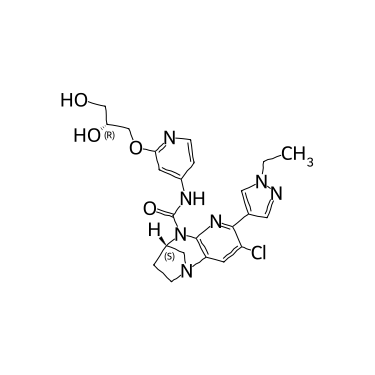 CCn1cc(-c2nc3c(cc2Cl)N2CC[C@@H](C2)N3C(=O)Nc2ccnc(OC[C@H](O)CO)c2)cn1